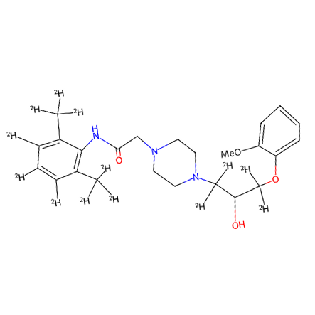 [2H]c1c([2H])c(C([2H])([2H])[2H])c(NC(=O)CN2CCN(C([2H])([2H])C(O)C([2H])([2H])Oc3ccccc3OC)CC2)c(C([2H])([2H])[2H])c1[2H]